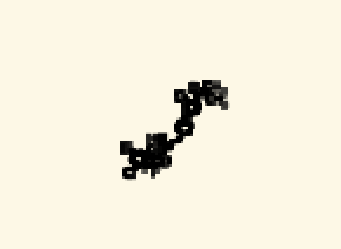 CN(C)C(=O)c1ccc(N2CCC(CCCNC(=O)C(O)(c3cc(Cl)cc(Cl)c3)C(F)(F)F)CC2)nc1Cl